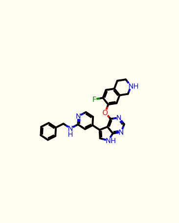 Fc1cc2c(cc1Oc1ncnc3[nH]cc(-c4ccnc(NCc5ccccc5)c4)c13)CNCC2